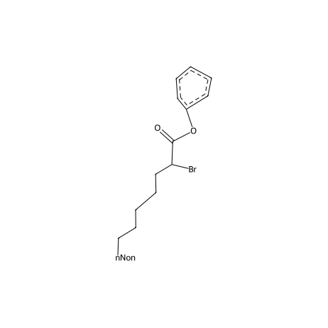 CCCCCCCCCCCCCCC(Br)C(=O)Oc1ccccc1